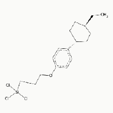 CC[C@H]1CC[C@H](c2ccc(OCCC[Si](Cl)(Cl)Cl)cc2)CC1